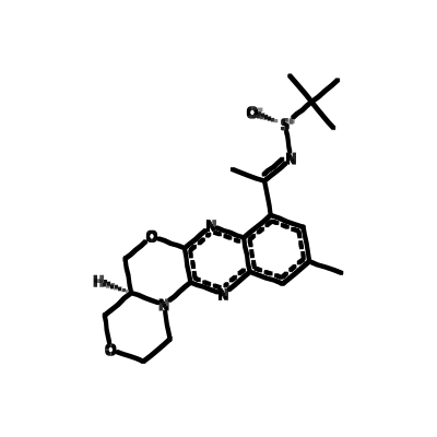 C/C(=N\[S@+]([O-])C(C)(C)C)c1cc(C)cc2nc3c(nc12)OC[C@@H]1COCCN31